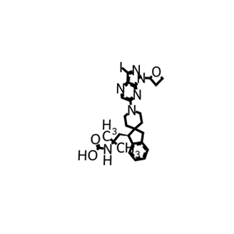 CC(C)(C[C@@H]1c2ccccc2CC12CCN(c1cnc3c(I)nn(C4CCO4)c3n1)CC2)NC(=O)O